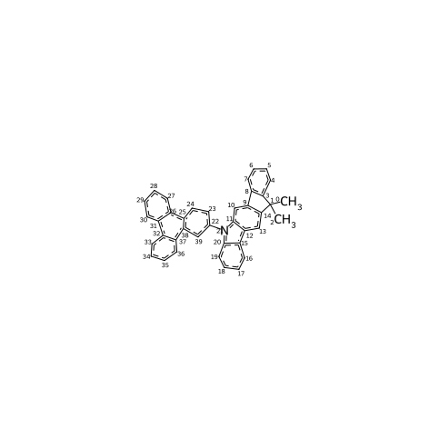 CC1(C)c2ccccc2-c2cc3c(cc21)c1ccccc1n3-c1ccc2c3ccccc3c3ccccc3c2c1